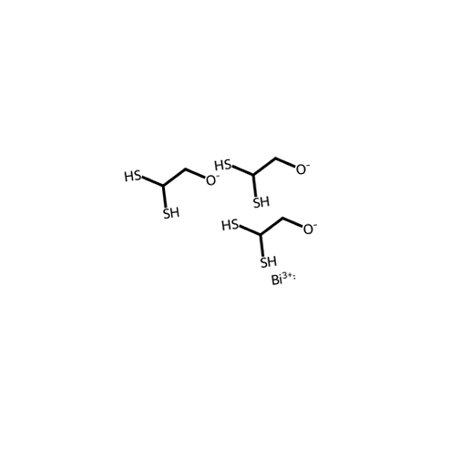 [Bi+3].[O-]CC(S)S.[O-]CC(S)S.[O-]CC(S)S